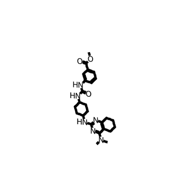 COC(=O)c1cccc(NC(=O)NC2CCC(Nc3nc4c(c(N(C)C)n3)CCCC4)CC2)c1